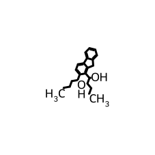 CCCCC(O)c1ccc2c(c1C(O)CCCC)Cc1ccccc1-2